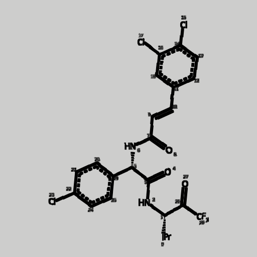 CC(C)[C@H](NC(=O)[C@@H](NC(=O)/C=C/c1ccc(Cl)c(Cl)c1)c1ccc(Cl)cc1)C(=O)C(F)(F)F